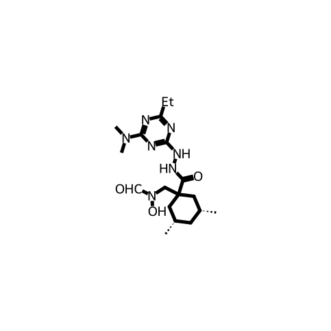 CCc1nc(NNC(=O)C2(CN(O)C=O)C[C@H](C)C[C@H](C)C2)nc(N(C)C)n1